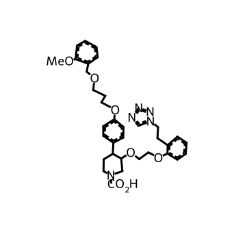 COc1ccccc1COCCCOc1ccc(C2CCN(C(=O)O)CC2OCCOc2ccccc2CCn2cnnn2)cc1